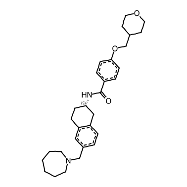 O=C(N[C@H]1CCc2cc(CN3CCCCCC3)ccc2C1)c1ccc(OCC2CCOCC2)cc1